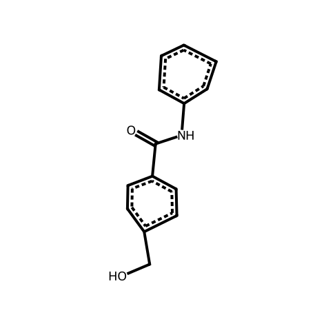 O=C(Nc1ccccc1)c1ccc(CO)cc1